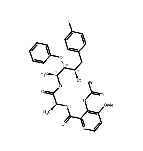 CC[C@H](Cc1ccc(F)cc1)[C@@H](Oc1ccccc1)[C@H](C)OC(=O)[C@H](C)NC(=O)c1nccc(OC)c1OC(=O)C(C)C